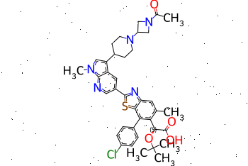 CC(=O)N1CC(N2CCC(c3cn(C)c4ncc(-c5nc6cc(C)c([C@H](OC(C)(C)C)C(=O)O)c(-c7ccc(Cl)cc7)c6s5)cc34)CC2)C1